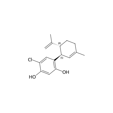 C=C(C)[C@@H]1CCC(C)=C[C@H]1c1cc(Cl)c(O)cc1O